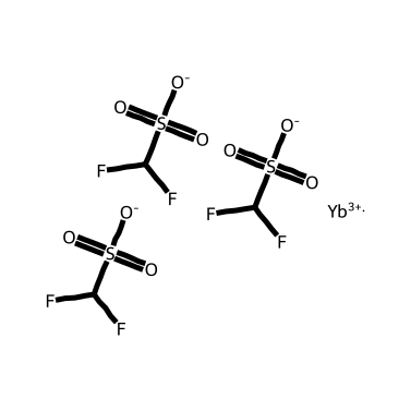 O=S(=O)([O-])C(F)F.O=S(=O)([O-])C(F)F.O=S(=O)([O-])C(F)F.[Yb+3]